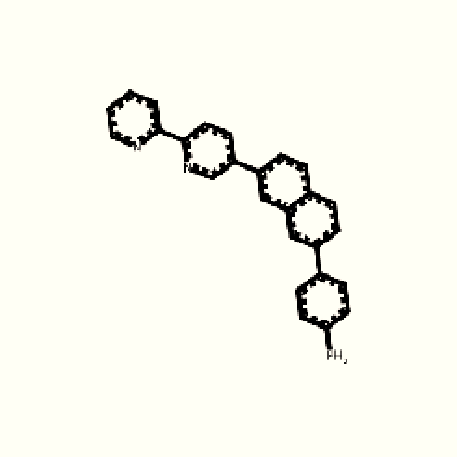 Pc1ccc(-c2ccc3ccc(-c4ccc(-c5ccccn5)nc4)cc3c2)cc1